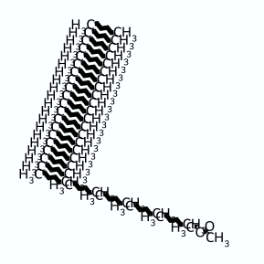 CCCCCC.CCCCCC.CCCCCC.CCCCCC.CCCCCC.CCCCCC.CCCCCC.CCCCCC.CCCCCC.CCCCCC.CCCCCC.CCCCCC.CCCCCC.CCCCCC.CCCCCC.CCCCCC.CCCCCC.CCCCCC.CCCCCC.CCCCCC.CCCCCC.CCCCCC.CCCCCC.CCCCCC.CCOC(C)=O